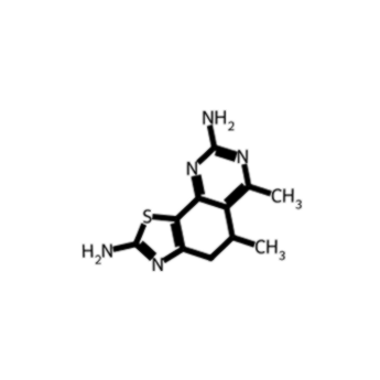 Cc1nc(N)nc2c1C(C)Cc1nc(N)sc1-2